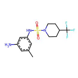 Cc1cc(N)cc(NS(=O)(=O)N2CCC(C(F)(F)F)CC2)c1